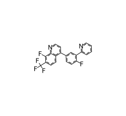 Fc1ccc(-c2ccnc3c(F)c(C(F)(F)F)ccc23)cc1-c1ccccn1